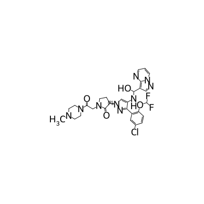 CN1CCN(C(=O)CN2CC[C@@H](n3cc(NC(O)c4cnn5cccnc45)c(-c4cc(Cl)ccc4OC(F)F)n3)C2=O)CC1